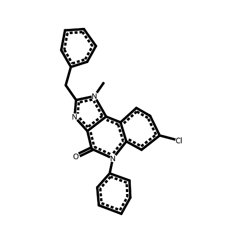 Cn1c(Cc2ccccc2)nc2c(=O)n(-c3ccccc3)c3cc(Cl)ccc3c21